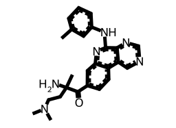 Cc1cccc(Nc2nc3cc(C(=O)C(C)(N)CCN(C)C)ccc3c3cncnc23)c1